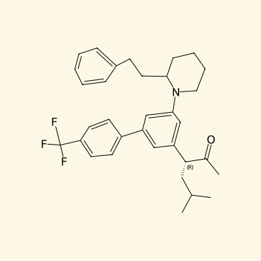 CC(=O)[C@H](CC(C)C)c1cc(-c2ccc(C(F)(F)F)cc2)cc(N2CCCCC2CCc2ccccc2)c1